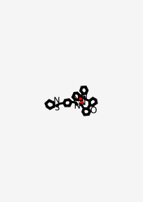 c1ccc(-c2nc(-c3ccc(-c4nc5ccccc5s4)cc3)nc(-c3cccc4oc5cccc(-c6nc7ccccc7s6)c5c34)n2)cc1